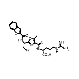 Cc1oc([C@H](CC(C)C)NC(=O)c2cc3ccccc3o2)nc1C(=O)N[C@@H](CCCNC(=N)N)C(=O)O